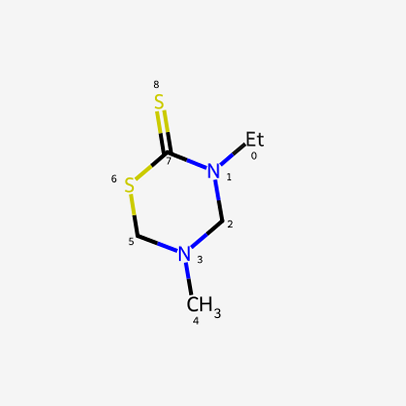 CCN1CN(C)CSC1=S